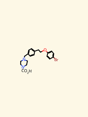 O=C(O)N1CCN(Cc2ccc(CCOc3ccc(Br)cc3)cc2)CC1